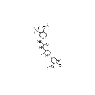 CCOc1cc(-c2ccc(NC(=O)Nc3ccc(OC(C)C)c(C(F)(F)F)c3)c(C)n2)c[nH]c1=O